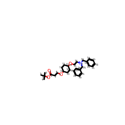 CC(C)(C)OC(=O)CCOC1CCC(OCCN(Cc2ccccc2)Cc2ccccc2)CC1